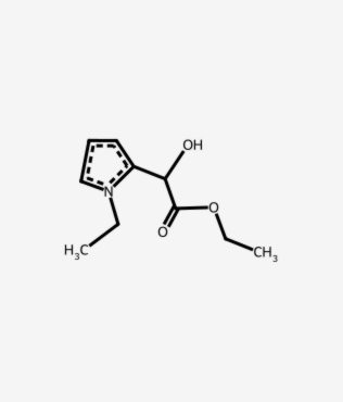 CCOC(=O)C(O)c1cccn1CC